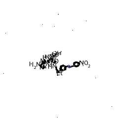 CCN(CCNC(=O)[C@H]1O[C@@H](n2cnc3c(N)ncnc32)[C@H](O)[C@@H]1OP(=O)(O)O)c1ccc(/C=C/c2ccc([N+](=O)[O-])cc2)cc1